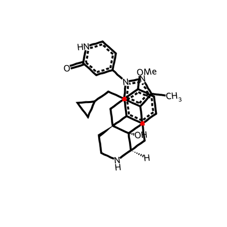 COc1ccc2c(c1CC1CC1)[C@]13CCN[C@H](C2)[C@]1(O)Cc1c(C)nn(-c2cc[nH]c(=O)c2)c1C3